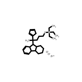 CC[Si](CC)(CC)OCCCC(C)(C1=CC=CC1)C1C2C=CC=CC2C2CCCCC21.[Cl-].[Cl-].[Zr+2]